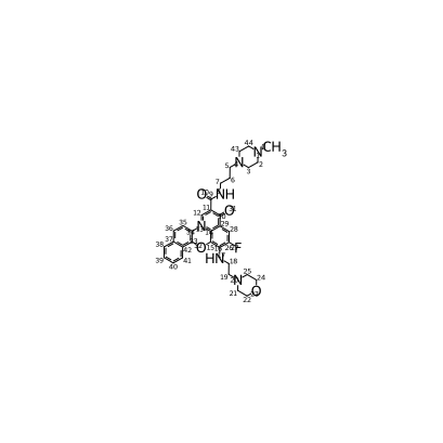 CN1CCN(CCCNC(=O)c2cn3c4c(c(NCCN5CCOCC5)c(F)cc4c2=O)Oc2c-3ccc3ccccc23)CC1